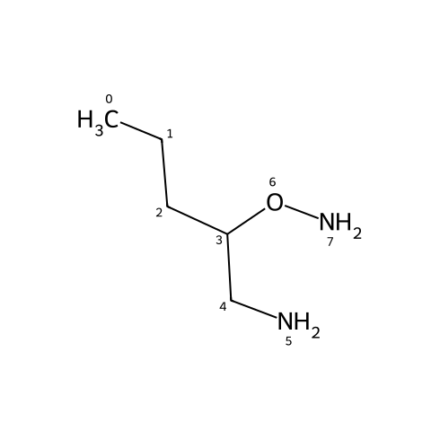 CCCC(CN)ON